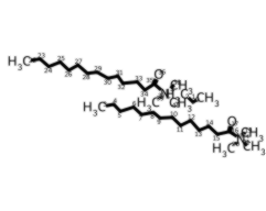 CCC.CCCCCCCCCCCCCC(=O)[N+](C)(C)C.CCCCCCCCCCCCCC(=O)[N+](C)(C)C